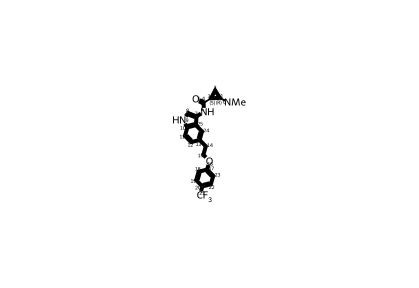 CN[C@@H]1C[C@@H]1C(=O)Nc1c[nH]c2ccc(CCOc3ccc(C(F)(F)F)cc3)cc12